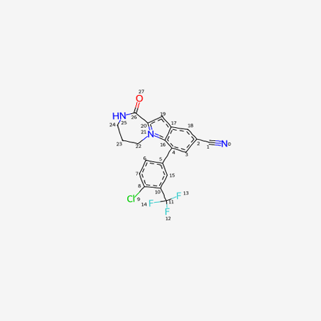 N#Cc1cc(-c2ccc(Cl)c(C(F)(F)F)c2)c2c(c1)cc1n2CCCNC1=O